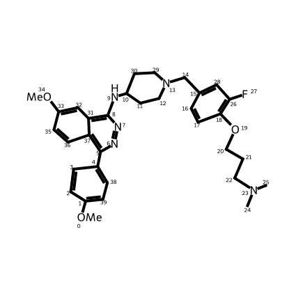 COc1ccc(-c2nnc(NC3CCN(Cc4ccc(OCCCN(C)C)c(F)c4)CC3)c3cc(OC)ccc23)cc1